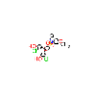 COc1ccc(N(CC2CCC2)S(=O)(=O)C2CC3OC2C(c2ccc(O)c(Cl)c2)=C3c2ccc(O)c(Cl)c2)cc1